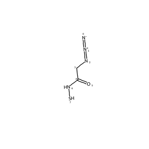 [N-]=[N+]=NCC(=O)NS